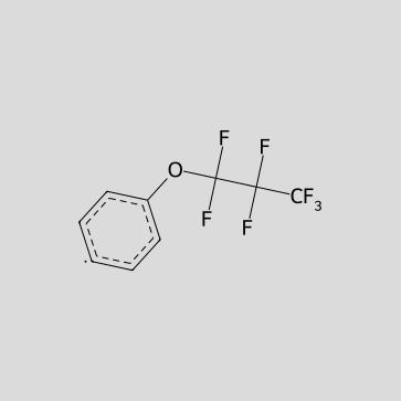 FC(F)(F)C(F)(F)C(F)(F)Oc1cc[c]cc1